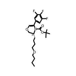 CCCCOCCCC[C@@H]1COC=C(c2cc(F)c(F)c(F)c2)N1C(=O)OC(C)(C)C